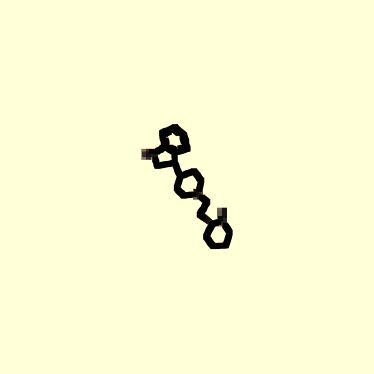 c1ccc2c(c1)NCC2C1CCN(CC[C@@H]2CCCCN2)CC1